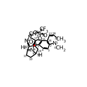 C=Nc1ccc(C(=O)N2[C@@H]3CC[C@H]2c2nn(C)c(OS(=O)(=O)C(F)(F)F)c2C3)cc1/C=C\C